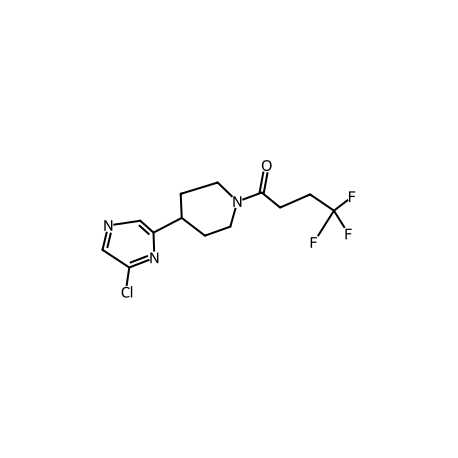 O=C(CCC(F)(F)F)N1CCC(c2cncc(Cl)n2)CC1